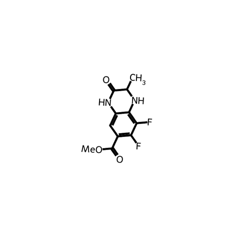 COC(=O)c1cc2c(c(F)c1F)NC(C)C(=O)N2